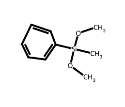 CO[Si](C)(OC)c1cc[c]cc1